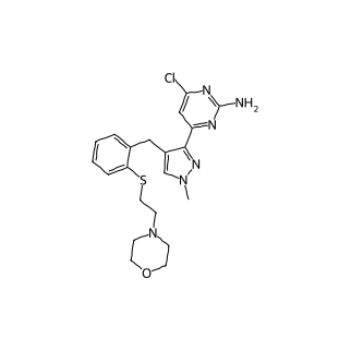 Cn1cc(Cc2ccccc2SCCN2CCOCC2)c(-c2cc(Cl)nc(N)n2)n1